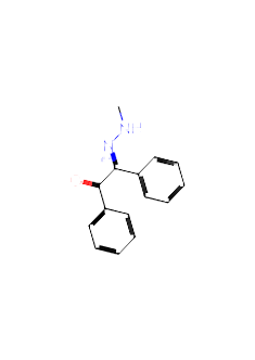 CN/N=C(/C(=O)c1ccccc1)c1ccccc1